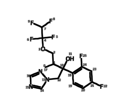 CC(COC(F)(F)C(F)F)C(O)(Cn1cncn1)c1ccc(F)cc1F